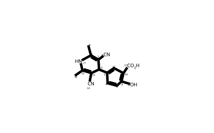 CC1=C(C#N)C(c2ccc(O)c(C(=O)O)c2)C(C#N)=C(C)N1